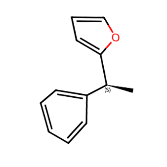 C[C@@H](c1ccccc1)c1ccco1